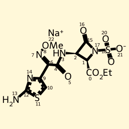 CCOC(=O)[C@H]1[C@@H](NC(=O)C(=NOC)c2csc(N)n2)C(=O)N1S(=O)(=O)[O-].[Na+]